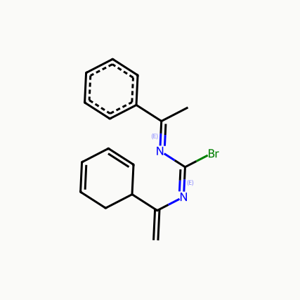 C=C(/N=C(Br)\N=C(/C)c1ccccc1)C1C=CC=CC1